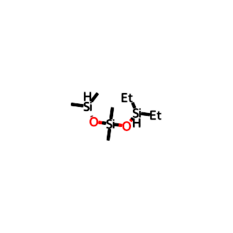 CC[SiH](CC)O[Si](C)(C)O[SiH](C)C